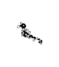 O=C(/C=C/CC(=O)OCCn1ccnc1)Nc1cc2c(Nc3ccc(F)c(Cl)c3)ncnc2cn1